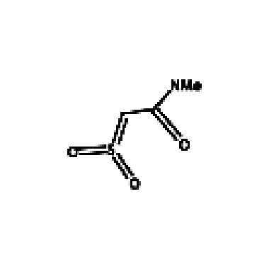 CNC(=O)C=S(=O)=O